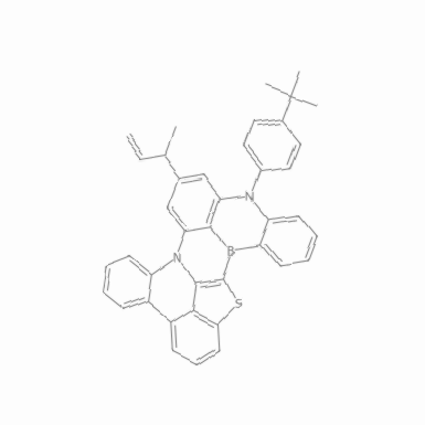 C=CC(C)c1cc2c3c(c1)N1c4ccccc4-c4cccc5sc(c1c45)B3c1ccccc1N2c1ccc(C(C)(C)C)cc1